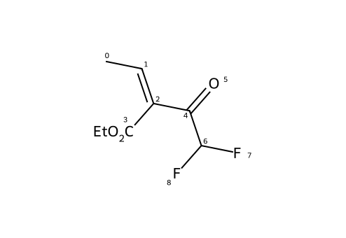 C/C=C(\C(=O)OCC)C(=O)C(F)F